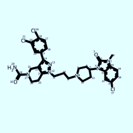 Cn1c(=O)n(C2CCN(CCCn3nc(-c4ccc(Cl)c(Cl)c4)c4c3CCN(C(N)=O)C4)CC2)c2cc(Cl)ccc21